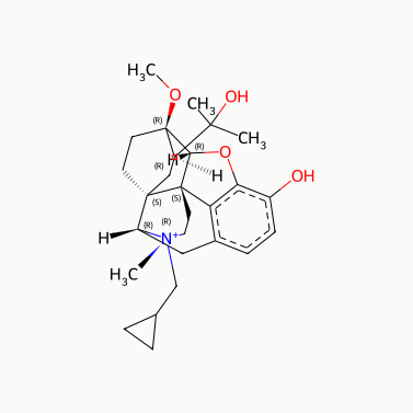 CO[C@]12CC[C@@]3(C[C@@H]1C(C)(C)O)[C@H]1Cc4ccc(O)c5c4[C@@]3(CC[N@+]1(C)CC1CC1)[C@H]2O5